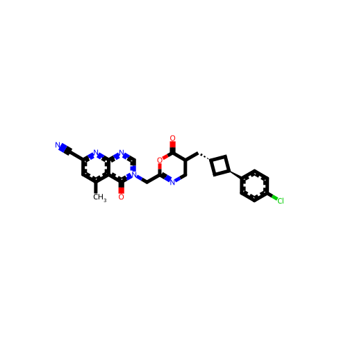 Cc1cc(C#N)nc2ncn(CC3=NCC(C[C@H]4C[C@H](c5ccc(Cl)cc5)C4)C(=O)O3)c(=O)c12